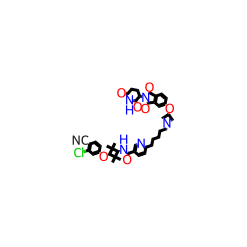 CC1(C)[C@H](NC(=O)c2ccc(CCCCCN3CC(Oc4ccc5c(c4)C(=O)N(C4CCC(=O)NC4=O)C5=O)C3)nc2)C(C)(C)[C@H]1Oc1ccc(C#N)c(Cl)c1